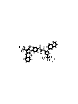 CC(C)(C)c1cc(NC(=O)Nc2ccc(-n3c(N)c(C(N)=O)c4nc5ccccc5nc43)cc2)n(-c2ccc3ncccc3c2)n1